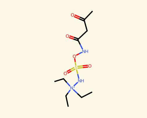 CC[N+](CC)(CC)NS(=O)(=O)ONC(=O)CC(C)=O